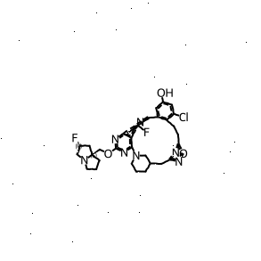 Oc1cc(Cl)c2c(c1)-c1ncc3c(nc(OC[C@@]45CCCN4C[C@H](F)C5)nc3c1F)N1CCCC(Cc3noc(n3)CC2)C1